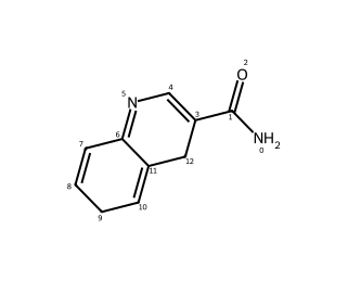 NC(=O)C1=CN=C2C=CCC=C2C1